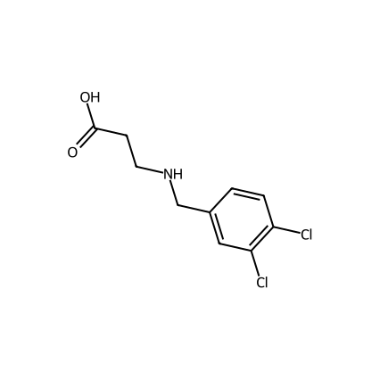 O=C(O)CCNCc1ccc(Cl)c(Cl)c1